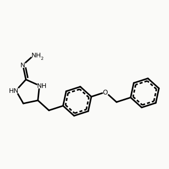 NN=C1NCC(Cc2ccc(OCc3ccccc3)cc2)N1